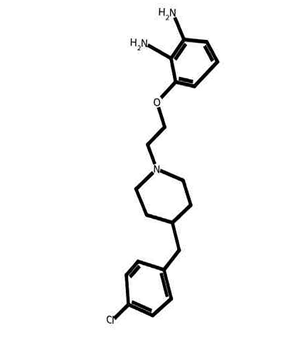 Nc1cccc(OCCN2CCC(Cc3ccc(Cl)cc3)CC2)c1N